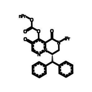 CCCOC(=O)Oc1c2n(ncc1=O)[C@@H](C(c1ccccc1)c1ccccc1)CN(C(C)C)C2=O